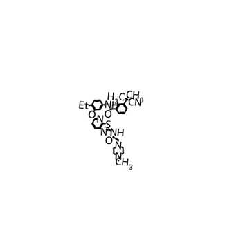 CCc1ccc(NC(=O)c2cccc(C(C)(C)C#N)c2)cc1Oc1ccc2nc(NC(=O)CN3CCN(C)CC3)sc2n1